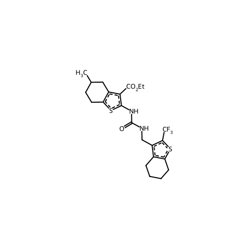 CCOC(=O)c1c(NC(=O)NCc2c(C(F)(F)F)sc3c2CCCC3)sc2c1CC(C)CC2